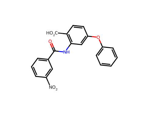 O=C(Nc1cc(Oc2ccccc2)ccc1C(=O)O)c1cccc([N+](=O)[O-])c1